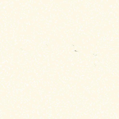 CNCCCC(=O)Nc1cccc(CCN(Cc2ccccc2)C[C@@H](O[Si](C)(C)C(C)(C)C)c2ccc(OCc3ccccc3)c3[nH]c(=O)ccc23)c1